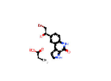 CCC(=O)O.O=C(CBr)c1ccc2[nH]c(=O)c3[nH]ccc3c2c1